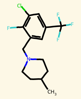 CC1CCN(Cc2cc(C(F)(F)F)cc(Cl)c2F)CC1